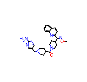 CON=C(c1ccc2ccccc2n1)C1CCN(C(=O)C2CCN(Cc3cnc(N)nc3)CC2)CC1